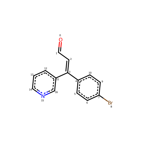 O=CC=C(c1ccc(Br)cc1)c1cccnc1